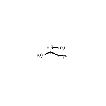 CC(=O)CCC(=O)O.NC(=O)O